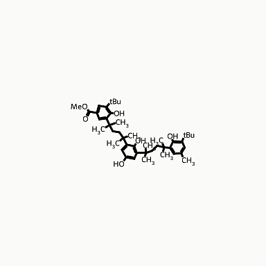 COC(=O)c1cc(C(C)(C)C)c(O)c(C(C)(C)CCC(C)(C)c2cc(O)cc(C(C)(C)CCC(C)(C)c3cc(C)cc(C(C)(C)C)c3O)c2O)c1